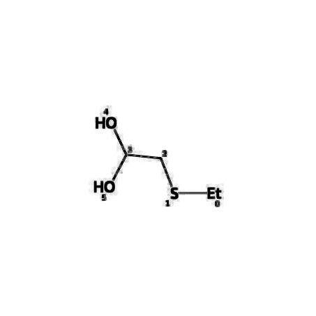 CCSCC(O)O